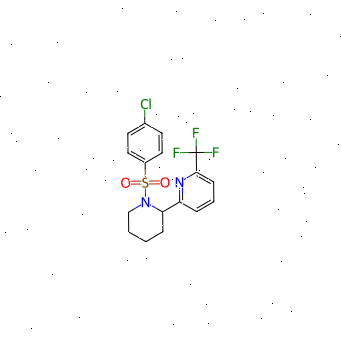 O=S(=O)(c1ccc(Cl)cc1)N1CCCCC1c1cccc(C(F)(F)F)n1